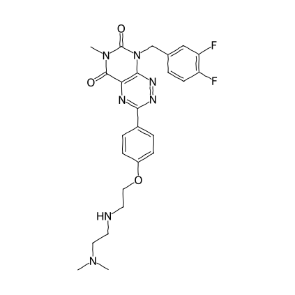 CN(C)CCNCCOc1ccc(-c2nnc3c(n2)c(=O)n(C)c(=O)n3Cc2ccc(F)c(F)c2)cc1